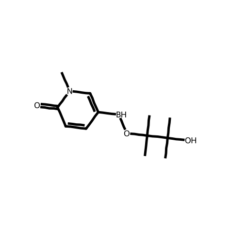 Cn1cc(BOC(C)(C)C(C)(C)O)ccc1=O